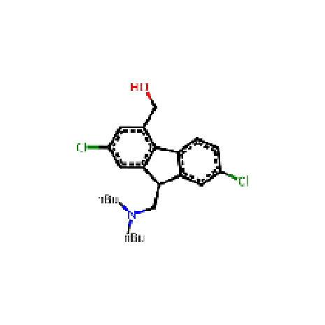 CCCCN(CCCC)CC1c2cc(Cl)ccc2-c2c(CO)cc(Cl)cc21